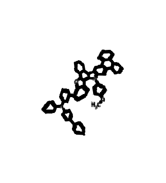 COc1ccc(-n2c3cc4c5ccccc5c5ccccc5c4cc3c3c4ccccc4c4oc5c(-c6cccc(N(c7ccccc7)c7ccc(-c8ccccc8)cc7)c6)cccc5c4c32)cc1